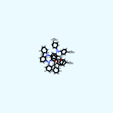 CC(C)(C)c1ccc(N2c3ccc(C(C)(C)C)cc3B3c4cc(C(C)(C)C)ccc4Oc4cc(-n5c6ccccc6c6cccc(N7c8ccccc8C8(c9ccccc9-c9ccccc98)c8ccccc87)c65)cc2c43)cc1